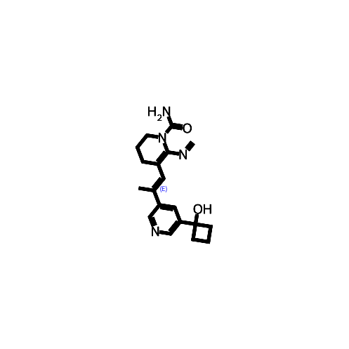 C=NC1=C(/C=C(\C)c2cncc(C3(O)CCC3)c2)CCCN1C(N)=O